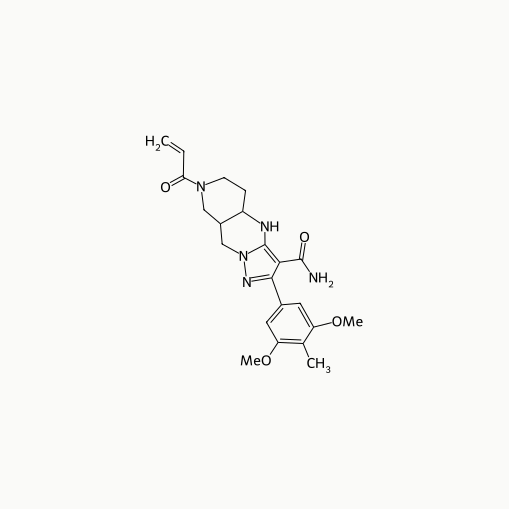 C=CC(=O)N1CCC2Nc3c(C(N)=O)c(-c4cc(OC)c(C)c(OC)c4)nn3CC2C1